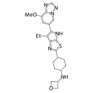 CCc1c(-c2cc(OC)c3ncnn3c2)[nH]c2sc(C3CCC(NC4COC4)CC3)nc12